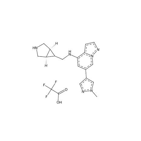 Cn1cc(-c2cc(NCC3[C@H]4CNC[C@@H]34)c3ccnn3c2)cn1.O=C(O)C(F)(F)F